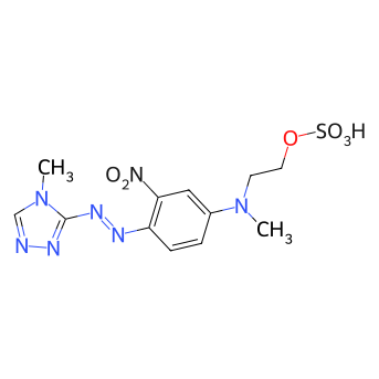 CN(CCOS(=O)(=O)O)c1ccc(N=Nc2nncn2C)c([N+](=O)[O-])c1